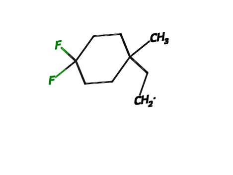 [CH2]CC1(C)CCC(F)(F)CC1